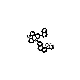 c1cc(-c2cccc3ccccc23)cc(N(c2ccc3c(ccc4ccc5c6cccnc6oc5c43)c2)c2cccc3oc4ccccc4c23)c1